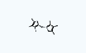 CC1=C(C)C(C)=[C]([Pt][C]2=C(C)C(C)=C(C)C2)C1